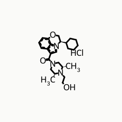 C[C@@H]1CN(C(=O)c2cn3c4c(cccc24)OC[C@H]3C2CCCCC2)C[C@H](C)N1CCO.Cl